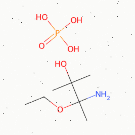 CCOC(C)(N)C(C)(C)O.O=P(O)(O)O